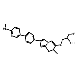 CNc1ccc(-c2ccc(-c3cn4c(n3)CC(C)C(OCC(O)CF)=C4)cc2)cn1